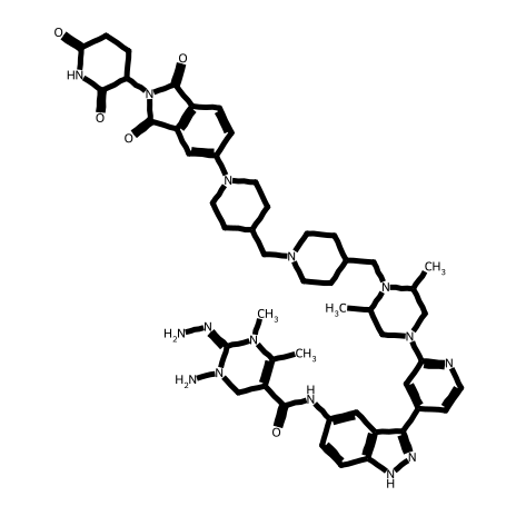 CC1=C(C(=O)Nc2ccc3[nH]nc(-c4ccnc(N5CC(C)N(CC6CCN(CC7CCN(c8ccc9c(c8)C(=O)N(C8CCC(=O)NC8=O)C9=O)CC7)CC6)C(C)C5)c4)c3c2)CN(N)/C(=N\N)N1C